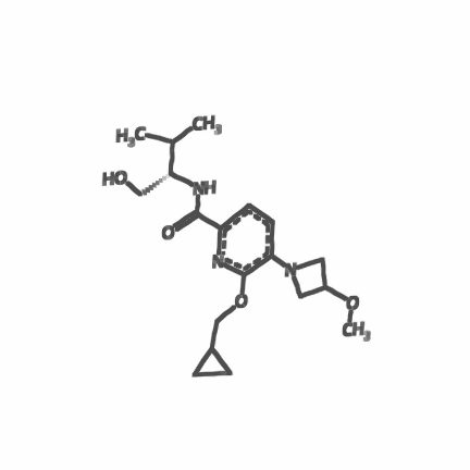 COC1CN(c2ccc(C(=O)N[C@H](CO)C(C)C)nc2OCC2CC2)C1